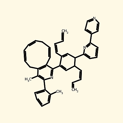 C=C/C=C\C1=CC(c2cccc(-c3ccncc3)n2)C(/C=C\C=C)C=C1c1nc(-c2ccccc2C)c(C)c2c1/C=C\C/C=C\C=C/C2